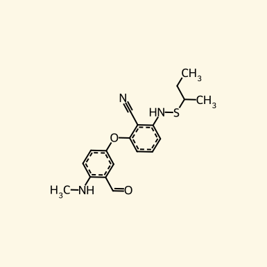 CCC(C)SNc1cccc(Oc2ccc(NC)c(C=O)c2)c1C#N